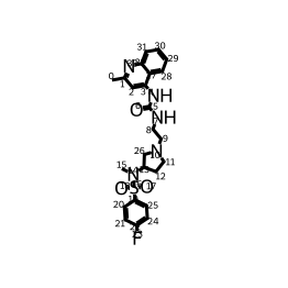 Cc1cc(NC(=O)NCCN2CCC(N(C)S(=O)(=O)c3ccc(F)cc3)C2)c2ccccc2n1